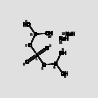 O=S(=O)(OB(O)O)OB(O)O.[NaH].[NaH]